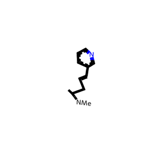 CNC(C)CC=Cc1cccnc1